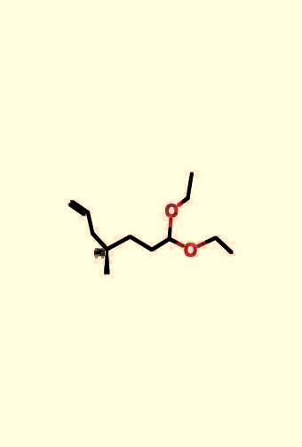 C=CC[C@H](C)CCC(OCC)OCC